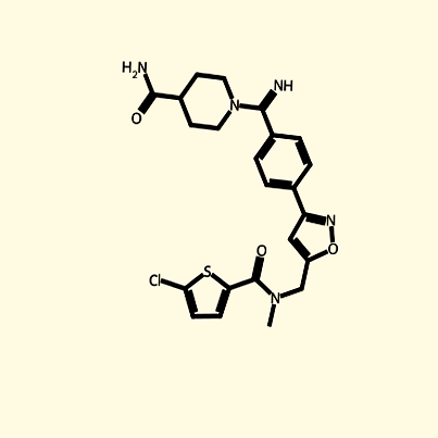 CN(Cc1cc(-c2ccc(C(=N)N3CCC(C(N)=O)CC3)cc2)no1)C(=O)c1ccc(Cl)s1